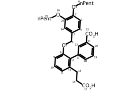 CCCCCOc1ccc(COc2cccc(CCC(=O)O)c2-c2cccc(C(=O)O)c2)cc1OCCCCC